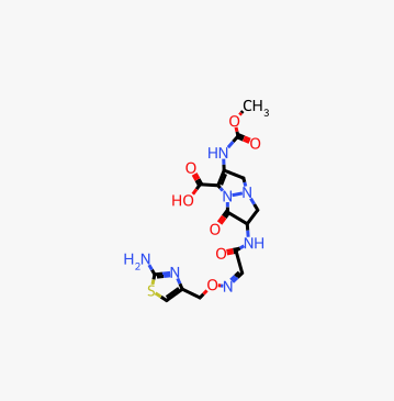 COC(=O)NC1=C(C(=O)O)N2C(=O)C(NC(=O)/C=N\OCc3csc(N)n3)CN2C1